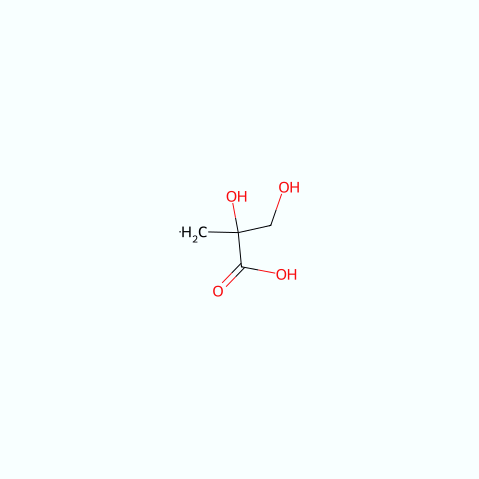 [CH2]C(O)(CO)C(=O)O